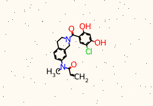 C=CC(=O)N(C)c1ccc2c(c1)CN(C(=O)c1cc(Cl)c(O)cc1O)CC2